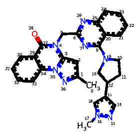 Cc1cc2n(Cc3nc(N4CCC(c5cnn(C)c5)C4)c4ccccc4n3)c(=O)c3ccccc3n2n1